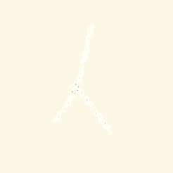 CCCCCCCCCCCCCCCn1cc[n+](CCCCCCCC)c1CCCCCCCCCCCCCC